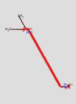 CCCCCCCCCCCCCCCCCC(=O)OCC(COP(=O)(O)OCCNC(=O)OOOOOOOOOOOOOOOOOOOOOOOOOOOOOOOOOOOOOOOOOOOOOOOOOOOOOOOOOOOOOOOOOOOOOOOOOOOO/C=C\OCCCNC(=O)CCN1C(=O)CC(S)C1=O)OC(=O)CCCCCCCCCCCCCCCCC